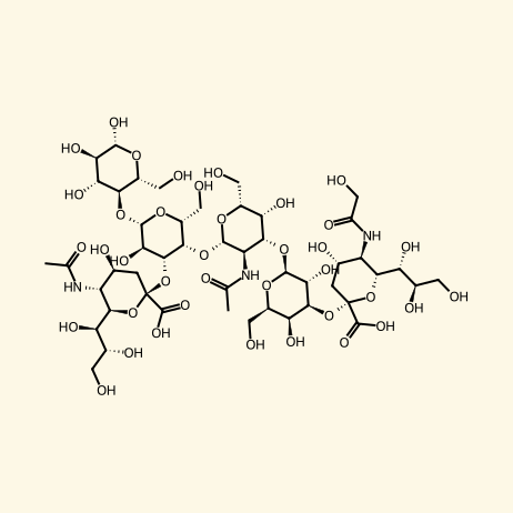 CC(=O)N[C@H]1[C@H](O[C@@H]2[C@H](O[C@]3(C(=O)O)C[C@H](O)[C@@H](NC(C)=O)[C@H]([C@H](O)[C@H](O)CO)O3)[C@@H](O)[C@H](O[C@H]3[C@H](O)[C@@H](O)[C@H](O)O[C@@H]3CO)O[C@@H]2CO)O[C@H](CO)[C@H](O)[C@@H]1O[C@@H]1O[C@H](CO)[C@H](O)[C@H](O[C@]2(C(=O)O)C[C@H](O)[C@@H](NC(=O)CO)[C@H]([C@H](O)[C@H](O)CO)O2)[C@H]1O